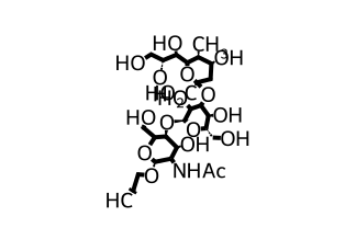 C#CCO[C@@H]1OC(CO)[C@@H](O[C@@H]2O[C@@H](CO)[C@H](O)C(O[C@]3(C(=O)O)C[C@@H](O)[C@@H](C)C([C@H](O)[C@H](O)CO)O3)C2O)[C@H](O)C1NC(C)=O